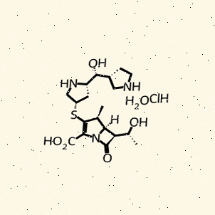 C[C@@H]1C(S[C@@H]2CN[C@H]([C@H](O)[C@@H]3CCNC3)C2)=C(C(=O)O)N2C(=O)[C@H]([C@@H](C)O)[C@H]12.Cl.O